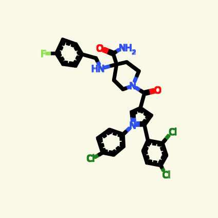 NC(=O)C1(NCc2ccc(F)cc2)CCN(C(=O)c2cc(-c3ccc(Cl)cc3Cl)n(-c3ccc(Cl)cc3)c2)CC1